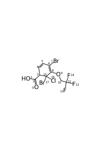 O=C(O)C1C=CC(Br)=C(OCC(F)(F)F)C1(Cl)Br